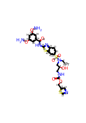 CC(C)CN(C[C@@H](O)CNC(=O)OCc1cncs1)S(=O)(=O)c1ccc2nc(NC(=O)c3cc(ON)cc(ON)c3)sc2c1